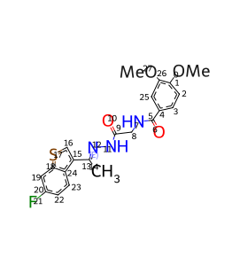 COc1ccc(C(=O)NCC(=O)N/N=C(\C)c2csc3cc(F)ccc23)cc1OC